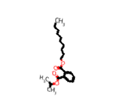 CCCCCCCCCCOC(=O)c1ccccc1C(=O)OC(C)C